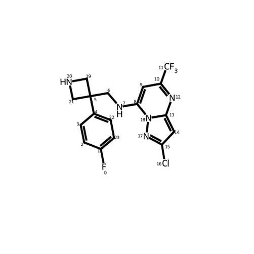 Fc1ccc(C2(CNc3cc(C(F)(F)F)nc4cc(Cl)nn34)CNC2)cc1